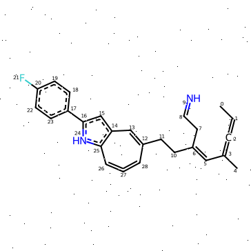 CC=C=C(C)/C=C(\CC=N)CCC1=Cc2cc(-c3ccc(F)cc3)[nH]c2C=C=C1